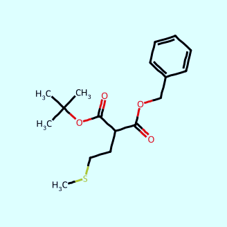 CSCCC(C(=O)OCc1ccccc1)C(=O)OC(C)(C)C